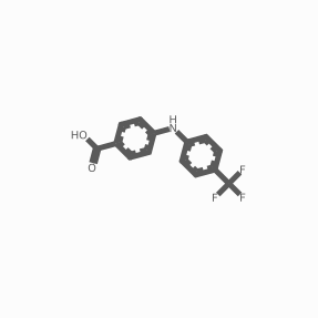 O=C(O)c1ccc(Nc2ccc(C(F)(F)F)cc2)cc1